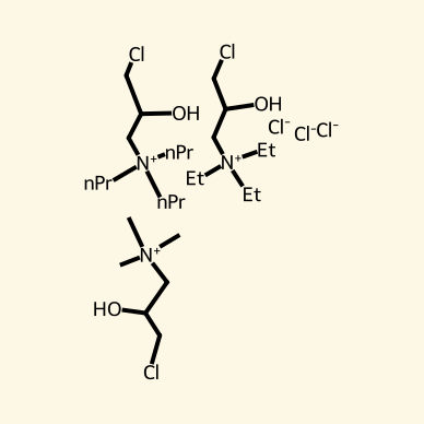 CCC[N+](CCC)(CCC)CC(O)CCl.CC[N+](CC)(CC)CC(O)CCl.C[N+](C)(C)CC(O)CCl.[Cl-].[Cl-].[Cl-]